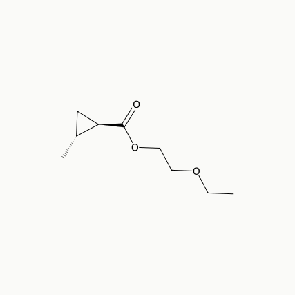 CCOCCOC(=O)[C@@H]1C[C@H]1C